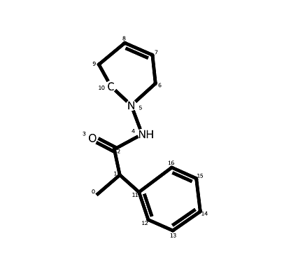 CC(C(=O)NN1CC=CCC1)c1ccccc1